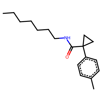 CCCCCCCNC(=O)C1(c2ccc(C)cc2)CC1